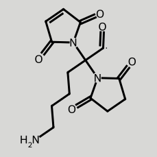 NCCCCC([C]=O)(N1C(=O)C=CC1=O)N1C(=O)CCC1=O